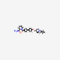 CC1(CN2CCC(COc3ccc(-c4ccc(C(=O)N5CCCC[C@@H]5C(N)=O)cc4)cc3F)CC2)CCC1